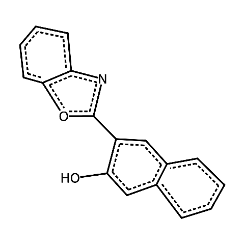 Oc1cc2ccccc2cc1-c1nc2ccccc2o1